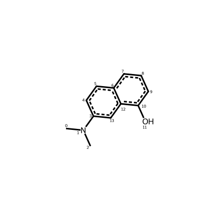 CN(C)c1ccc2cccc(O)c2c1